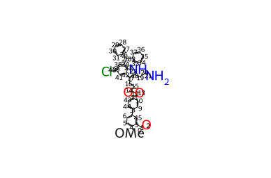 COC(=O)c1cccc(-c2ccc(S(=O)(=O)CCc3c(CCN)[nH]c4c(C(c5ccccc5)c5ccccc5)cc(Cl)cc34)cc2)c1